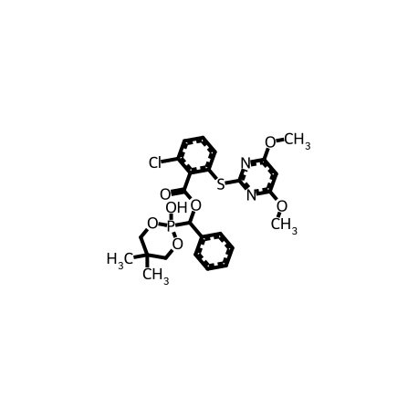 COc1cc(OC)nc(Sc2cccc(Cl)c2C(=O)OC(c2ccccc2)[P]2(O)OCC(C)(C)CO2)n1